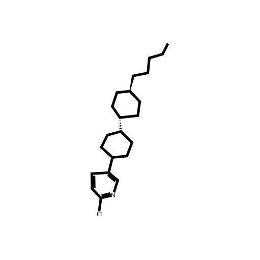 CCCCC[C@H]1CC[C@H](C2CCC(c3ccc(Cl)nc3)CC2)CC1